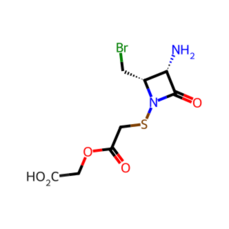 N[C@@H]1C(=O)N(SCC(=O)OCC(=O)O)[C@@H]1CBr